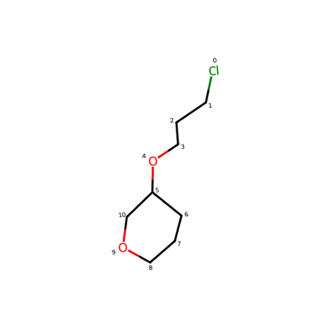 ClCCCOC1CCCOC1